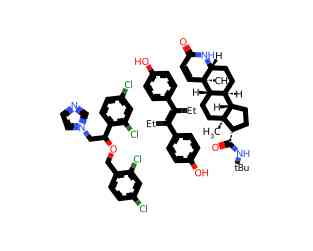 CC(C)(C)NC(=O)[C@H]1CC[C@H]2[C@@H]3CC[C@H]4NC(=O)C=C[C@]4(C)[C@H]3CC[C@]12C.CC/C(=C(/CC)c1ccc(O)cc1)c1ccc(O)cc1.Clc1ccc(COC(Cn2ccnc2)c2ccc(Cl)cc2Cl)c(Cl)c1